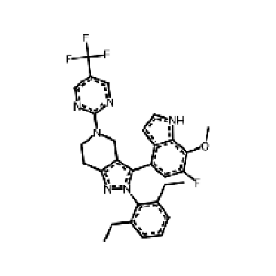 CCc1cccc(CC)c1-n1nc2c(c1-c1cc(F)c(OC)c3[nH]ccc13)CN(c1ncc(C(F)(F)F)cn1)CC2